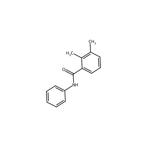 Cc1cccc(C(=O)Nc2ccccc2)c1C